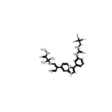 CNC(=O)C(C)(C)N/C=C(\C=N)c1ccn2c(-c3cccc(NC(=O)NCC(F)(F)F)c3)cnc2c1